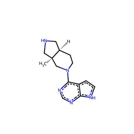 C[C@]12CNC[C@H]1CCN(c1ncnc3[nH]ccc13)C2